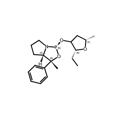 CC[C@H]1O[C@@H](C)CC1O[P@@]1O[C@](C)(c2ccccc2)[C@@H]2CCCN21